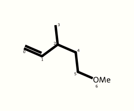 C=CC(C)CCOC